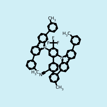 Cc1cccc(-c2ccc3c4ccc(-c5cccc(C)c5)cc4n(-c4cc(C(F)(F)F)c(-n5c6cc(-c7cccc(C)c7)ccc6c6ccc(-c7cccc(C)c7)cc65)cc4-c4cccc(C#N)c4)c3c2)c1